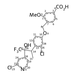 COc1cc(C(=O)O)ccc1COc1ccc(C(C)C(O)(c2ccnc(Cl)c2)C(F)(F)F)c(Cl)c1